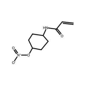 C=CC(=O)NC1CCC(O[N+](=O)[O-])CC1